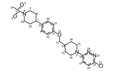 CS(=O)(=O)N1CCC(c2ccc(OCC3CCN(c4ccc(Cl)nn4)CC3)cc2)CC1